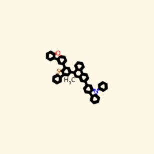 CC1c2cc(-c3ccc4c5ccccc5n(-c5ccccc5)c4c3)ccc2-c2ccccc2C1c1cc(-c2ccc3oc4ccccc4c3c2)c2sc3ccccc3c2c1